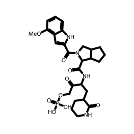 COc1cccc2[nH]c(C(=O)N3CC4CCCC4C3C(=O)NC(CC3CCCNC3=O)C(=O)COP(=O)(O)O)cc12